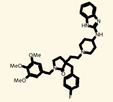 COc1cc(CN2CCC(CCN3CCC(Nc4nc5ccccc5[nH]4)CC3)(Cc3ccc(F)cc3)C2=O)cc(OC)c1OC